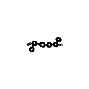 Oc1ccc(C2=CC=C(C3=CC=C(c4ccc(O)c(-c5ccccc5)c4)CC3)CC2)cc1-c1ccccc1